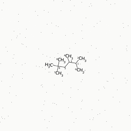 [CH2]C(C)C(C)CC(C)(C)C